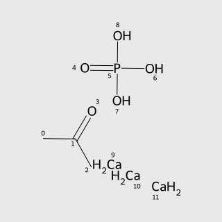 CC(C)=O.O=P(O)(O)O.[CaH2].[CaH2].[CaH2]